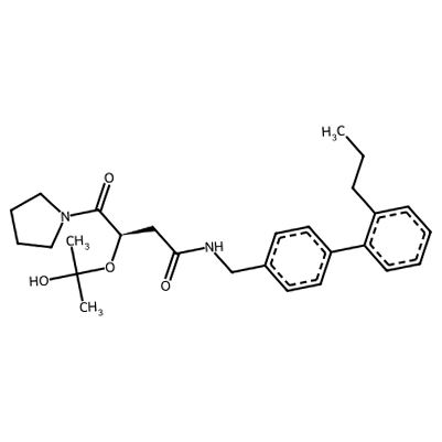 CCCc1ccccc1-c1ccc(CNC(=O)C[C@@H](OC(C)(C)O)C(=O)N2CCCC2)cc1